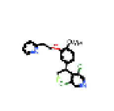 COc1ccc(C(CF)c2c(Cl)cncc2Cl)cc1OCCc1ccccn1